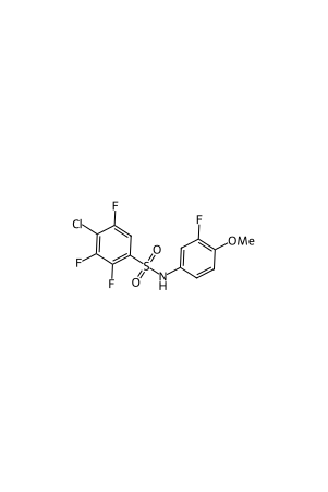 COc1ccc(NS(=O)(=O)c2cc(F)c(Cl)c(F)c2F)cc1F